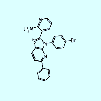 Nc1ncccc1-c1nc2ccc(-c3ccccc3)nc2n1-c1ccc(Br)cc1